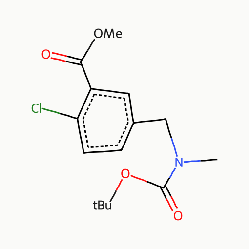 COC(=O)c1cc(CN(C)C(=O)OC(C)(C)C)ccc1Cl